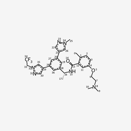 Cc1ccc(OCCN(C)C)cc1C(=O)N[C@H](C)c1cc(-c2cnn(C)c2)cc(-c2cnn(CC(F)(F)F)c2)c1